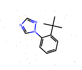 CC(C)(C)c1ccccc1-n1cncn1